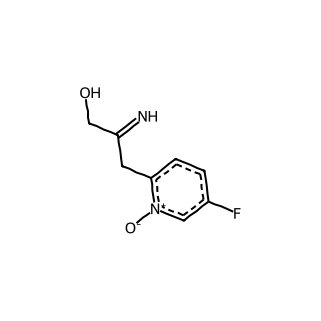 N=C(CO)Cc1ccc(F)c[n+]1[O-]